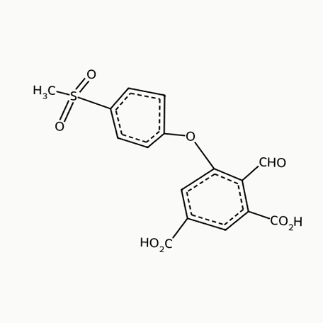 CS(=O)(=O)c1ccc(Oc2cc(C(=O)O)cc(C(=O)O)c2C=O)cc1